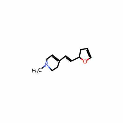 CN1CC=C(/C=C/C2CC=CO2)CC1